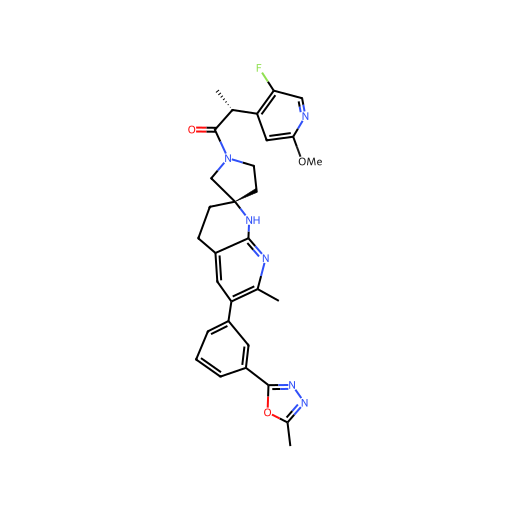 COc1cc([C@@H](C)C(=O)N2CC[C@@]3(CCc4cc(-c5cccc(-c6nnc(C)o6)c5)c(C)nc4N3)C2)c(F)cn1